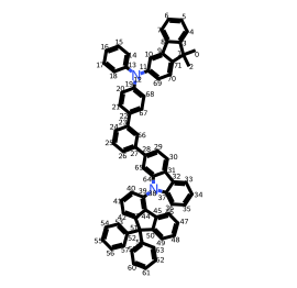 CC1(C)c2ccccc2-c2cc(N(c3ccccc3)c3ccc(-c4cccc(-c5ccc6c7ccccc7n(-c7cccc8c7-c7ccccc7C8(c7ccccc7)c7ccccc7)c6c5)c4)cc3)ccc21